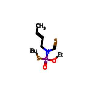 CC=CCN(C=S)P(=O)(OCC)SC(C)CC